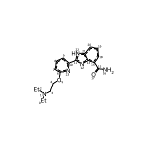 CCN(CC)CCOc1cccc(-c2nc3c(C(N)=O)cccc3[nH]2)n1